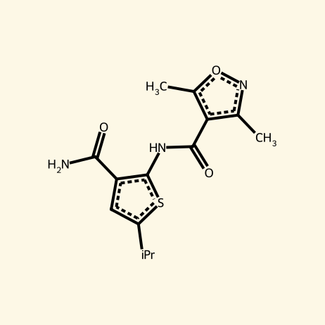 Cc1noc(C)c1C(=O)Nc1sc(C(C)C)cc1C(N)=O